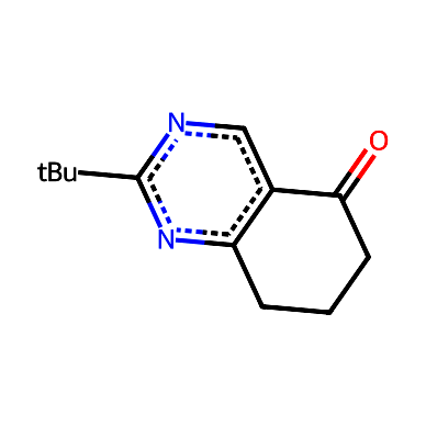 CC(C)(C)c1ncc2c(n1)CCCC2=O